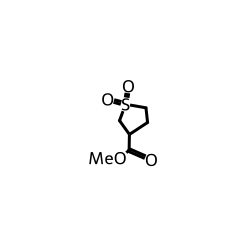 COC(=O)C1CCS(=O)(=O)C1